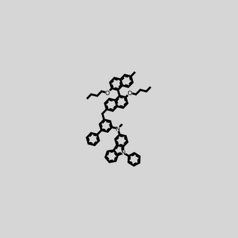 CCCCOc1ccc2cc(C)ccc2c1-c1c(OCCCC)ccc2cc(Cc3cc(-c4ccccc4)cc(N(C)c4ccc5c(c4)c4ccccc4n5-c4ccccc4)c3)ccc12